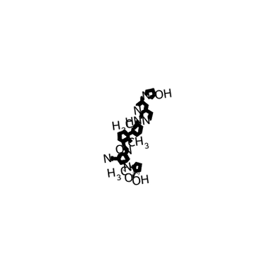 Cc1c(Nc2nccc3cc(CN4CCC(O)C4)cnc23)cccc1-c1cccc(-c2nc3cc(N(C)[C@H]4CCC[C@H]4C(=O)O)cc(C#N)c3o2)c1C